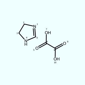 C1=NCCN1.O=C(O)C(=O)O